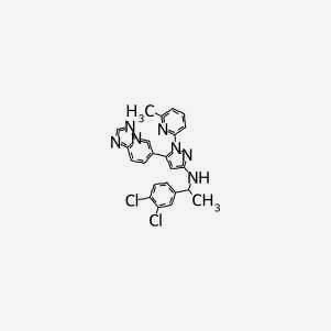 Cc1cccc(-n2nc(NC(C)c3ccc(Cl)c(Cl)c3)cc2-c2ccc3ncnn3c2)n1